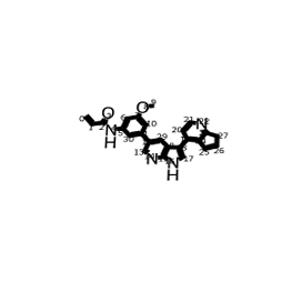 C=CC(=O)Nc1cc(OC)cc(-c2cnc3[nH]cc(-c4ccnc5c4C=CC5)c3c2)c1